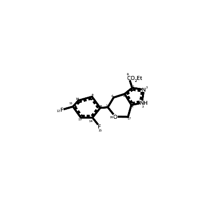 CCOC(=O)c1n[nH]c2c1CC(c1ccc(F)cc1F)OC2